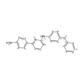 Nc1ccc(-c2ccnc(Nc3ccc(Oc4ccccc4)cc3)n2)cc1